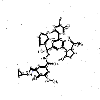 COC1=CC(C(=O)NC[C@@](O)(c2ccccc2)c2cc(N3C(=O)CCC3C(N)=O)cc(-c3cc(Cl)c(F)cc3F)n2)=C/C(=C/NC2CC2)C1=N